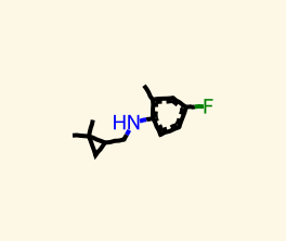 Cc1cc(F)ccc1NCC1CC1(C)C